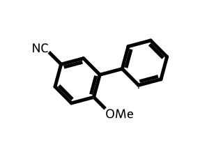 COc1ccc(C#N)cc1-c1[c]cccc1